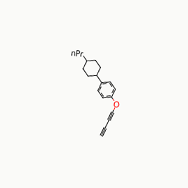 C#CC#COc1ccc(C2CCC(CCC)CC2)cc1